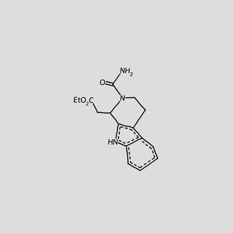 CCOC(=O)CC1c2[nH]c3ccccc3c2CCN1C(N)=O